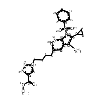 COC(=O)c1cn(CCCCc2cc3c(C)c(C4CC4)n(S(=O)(=O)c4ccccc4)c3nn2)nn1